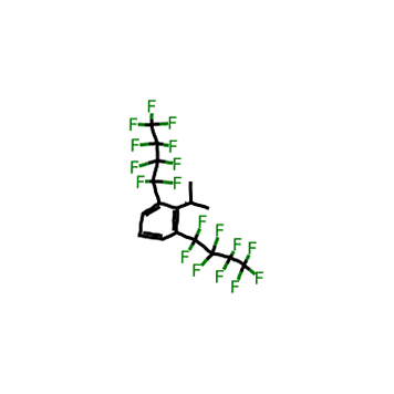 C[C](C)c1c(C(F)(F)C(F)(F)C(F)(F)C(F)(F)F)cccc1C(F)(F)C(F)(F)C(F)(F)C(F)(F)F